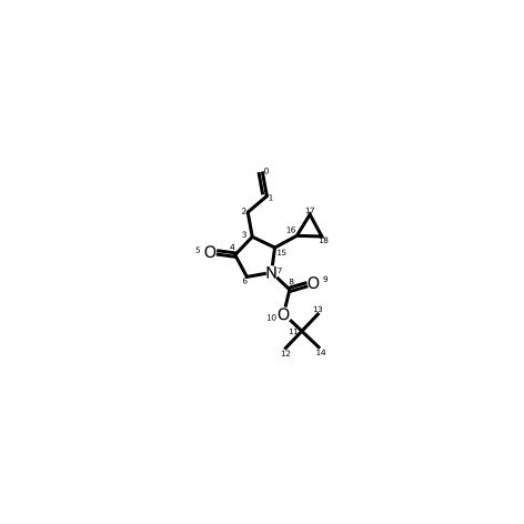 C=CCC1C(=O)CN(C(=O)OC(C)(C)C)C1C1CC1